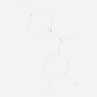 O=C1CCN(C(=O)c2ccc(F)c(Cl)c2)CC1